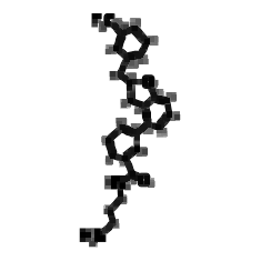 NCCCNC(=O)c1cccc(-c2cccc3oc(Cc4cccc(C(F)(F)F)c4)cc23)c1